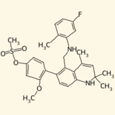 COc1cc(OS(C)(=O)=O)ccc1-c1ccc2c(c1CNc1cc(F)ccc1C)C(C)=CC(C)(C)N2